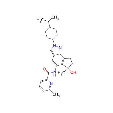 Cc1cccc(C(=O)Nc2cc3cn(C4CCC(C(C)C)CC4)nc3c3c2C(C)(O)CC3)n1